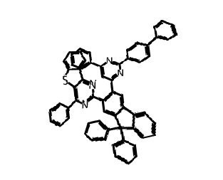 c1ccc(-c2ccc(-c3nc(-c4ccccc4)cc(-c4cc5c(cc4-c4nc(-c6ccccc6)c6sc7ccccc7c6n4)C(c4ccccc4)(c4ccccc4)c4ccccc4-5)n3)cc2)cc1